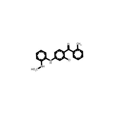 Cc1ccccc1C(=O)c1ccc(Nc2ccccc2NC(=O)O)cc1Cl